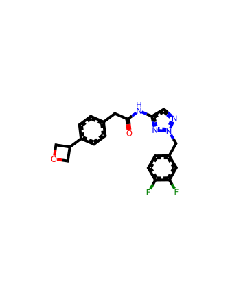 O=C(Cc1ccc(C2COC2)cc1)Nc1cnn(Cc2ccc(F)c(F)c2)n1